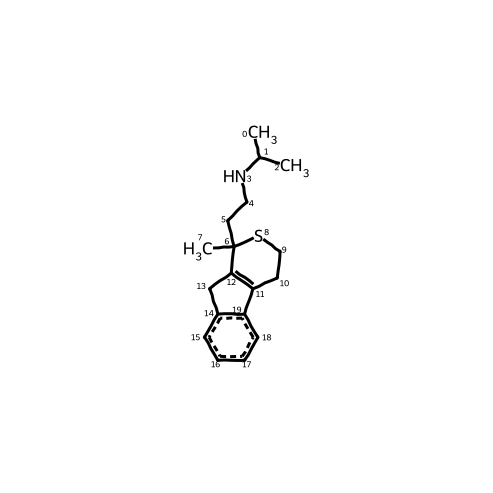 CC(C)NCCC1(C)SCCC2=C1Cc1ccccc12